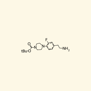 CC(C)(C)OC(=O)N1CCN(c2ccc(CCN)cc2F)CC1